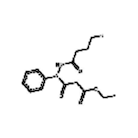 CCOC(=O)CC(=O)N(NC(=O)CCCCl)c1ccccc1